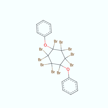 BrC1(Br)C(Br)(Br)C(Br)(Oc2ccccc2)C(Br)(Br)C(Br)(Br)C1(Br)Oc1ccccc1